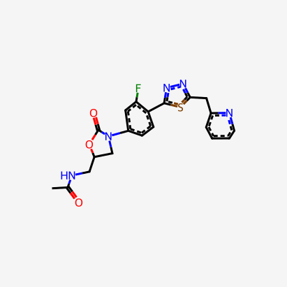 CC(=O)NCC1CN(c2ccc(-c3nnc(Cc4ccccn4)s3)c(F)c2)C(=O)O1